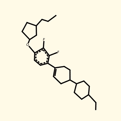 CCCC1CCC(Oc2ccc(C3=CCC(C4CCC(CC)CC4)CC3)c(F)c2F)C1